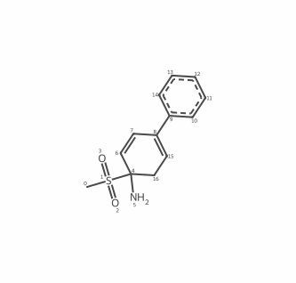 CS(=O)(=O)C1(N)C=CC(c2ccccc2)=CC1